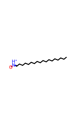 CCCCCCCCCCCCCCCCCC=[NH+][O-]